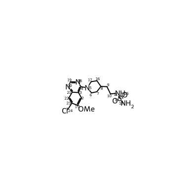 COc1cc2c(N3CCC(CCNS(N)(=O)=O)CC3)ncnc2cc1Cl